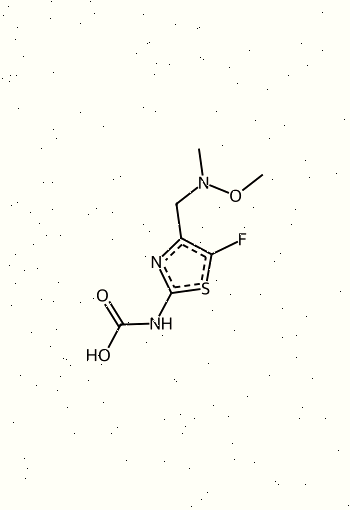 CON(C)Cc1nc(NC(=O)O)sc1F